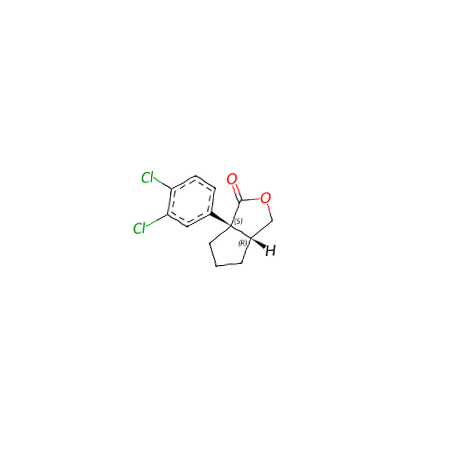 O=C1OC[C@@H]2CCC[C@]12c1ccc(Cl)c(Cl)c1